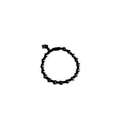 OC1C=CCCCCCCCCCCCCCCCCC1